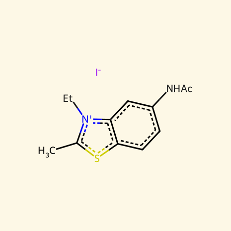 CC[n+]1c(C)sc2ccc(NC(C)=O)cc21.[I-]